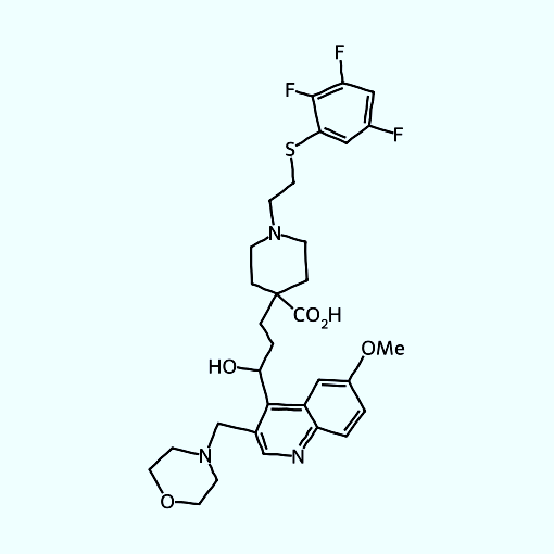 COc1ccc2ncc(CN3CCOCC3)c(C(O)CCC3(C(=O)O)CCN(CCSc4cc(F)cc(F)c4F)CC3)c2c1